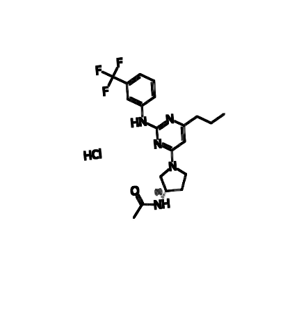 CCCc1cc(N2CC[C@H](NC(C)=O)C2)nc(Nc2cccc(C(F)(F)F)c2)n1.Cl